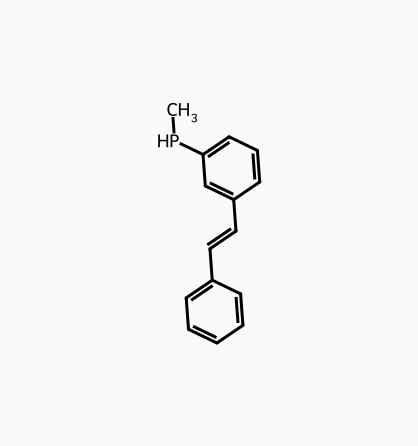 CPc1cccc(C=Cc2ccccc2)c1